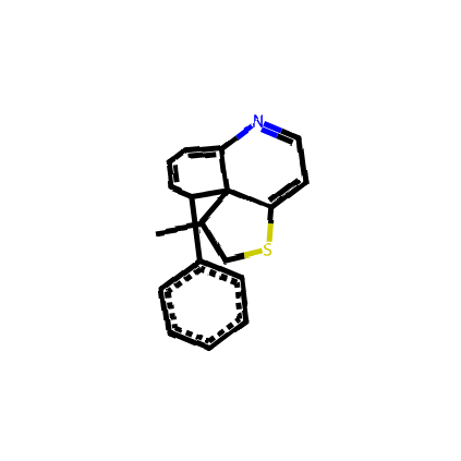 CC1CSC2=CC=NC3=CC=CC(c4ccccc4)C321